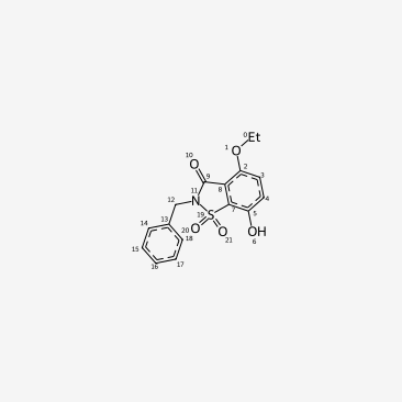 CCOc1ccc(O)c2c1C(=O)N(Cc1ccccc1)S2(=O)=O